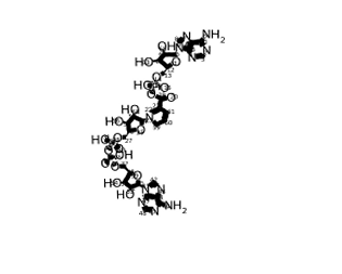 Nc1ncnc2c1ncn2[C@@H]1O[C@H](COP(=O)(O)OC(=O)C2=CN([C@@H]3O[C@H](COP(=O)(O)OP(=O)(O)OC[C@H]4O[C@@H](n5cnc6c(N)ncnc65)[C@H](O)[C@@H]4O)[C@@H](O)[C@H]3O)CC=C2)[C@@H](O)[C@H]1O